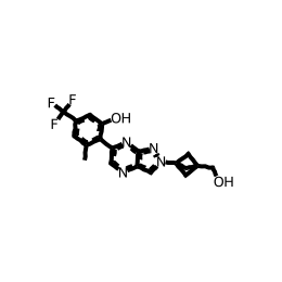 Cc1cc(C(F)(F)F)cc(O)c1-c1cnc2cn(C34CC(CO)(C3)C4)nc2n1